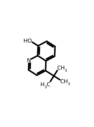 CC(C)(C)c1ccnc2c(O)cccc12